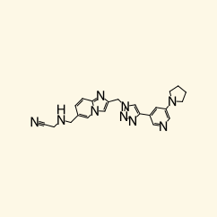 N#CCNCc1ccc2nc(Cn3cc(-c4cncc(N5CCCC5)c4)nn3)cn2c1